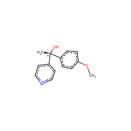 COc1ccc([C@@](C)(O)c2ccncc2)cc1